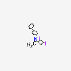 CC(N=Cc1ccc(-c2ccccc2)cc1)c1ccc(I)cc1I